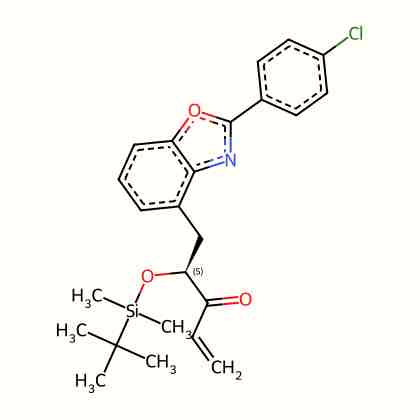 C=CC(=O)[C@H](Cc1cccc2oc(-c3ccc(Cl)cc3)nc12)O[Si](C)(C)C(C)(C)C